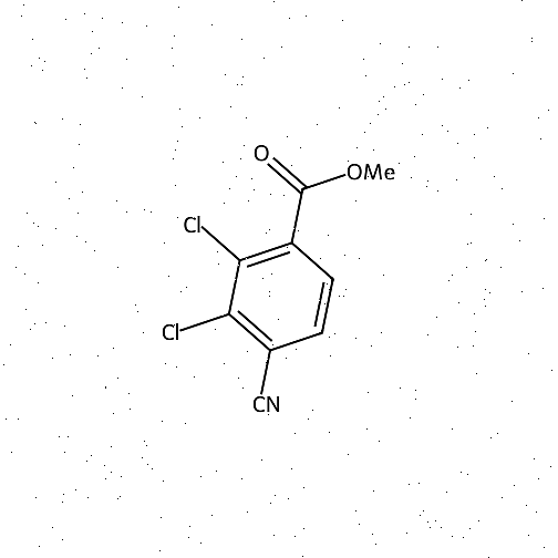 COC(=O)c1ccc(C#N)c(Cl)c1Cl